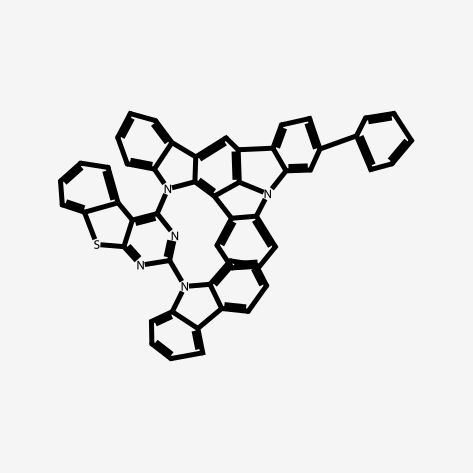 c1ccc(-c2ccc3c4cc5c6ccccc6n(-c6nc(-n7c8ccccc8c8ccccc87)nc7sc8ccccc8c67)c5c5c6ccccc6n(c3c2)c45)cc1